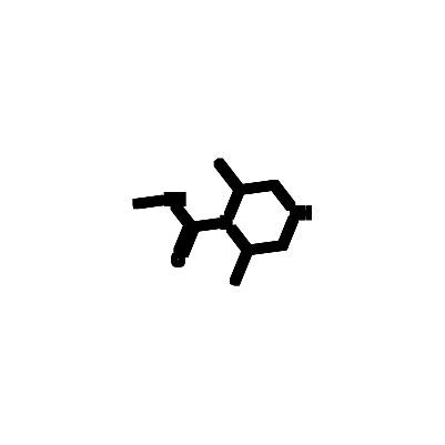 CNC(=O)N1C(C)CNCC1C